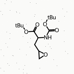 CC(C)(C)OC(=O)NC(CC1CO1)C(=O)OC(C)(C)C